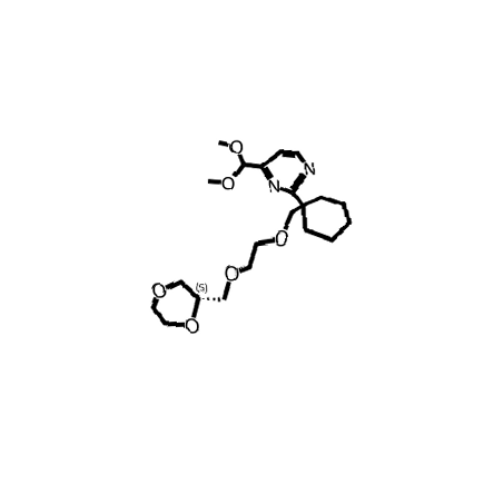 COC(OC)c1ccnc(C2(COCCOC[C@H]3COCCO3)CCCCC2)n1